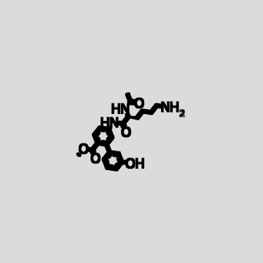 COC(=O)c1ccc(NC(=O)[C@H](CCCCN)NC(C)=O)cc1-c1cccc(O)c1